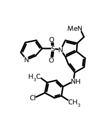 CNCc1cn(S(=O)(=O)c2cccnc2)c2cc(Nc3cc(C)c(Cl)cc3C)ccc12